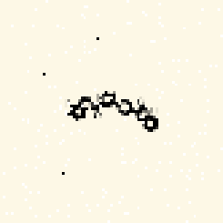 O=C(c1cc(N2CCC(c3cc4ccccc4[nH]c3=O)CC2)ncn1)N1CCc2c1ccc(F)c2F